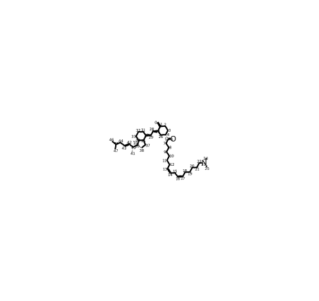 C=C1CC[C@H](C(=O)CCCCCC/C=C\C/C=C\CCCCCN(C)C)C/C1=C\C=C1/CCC[C@@]2(C)C1CC[C@@H]2[C@H](C)/C=C/CC(C)C